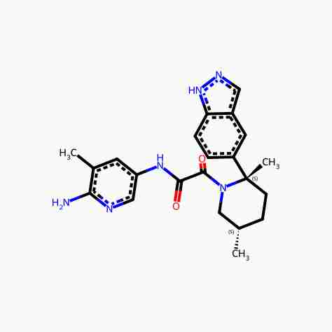 Cc1cc(NC(=O)C(=O)N2C[C@@H](C)CC[C@@]2(C)c2ccc3[nH]ncc3c2)cnc1N